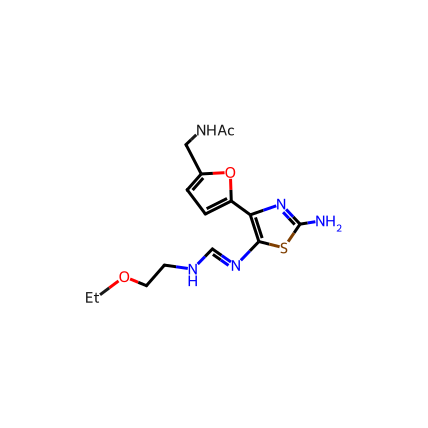 CCOCCNC=Nc1sc(N)nc1-c1ccc(CNC(C)=O)o1